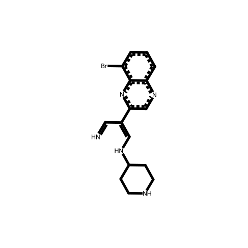 N=C/C(=C\NC1CCNCC1)c1cnc2cccc(Br)c2n1